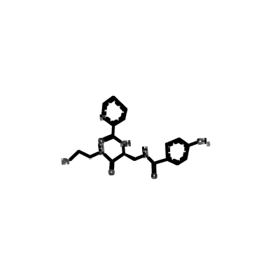 Cc1ccc(C(=O)NC[C@H](NC(=O)c2ccccn2)C(=O)N[CH]CC(C)C)cc1